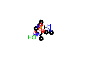 CS(=O)(=O)N(Cc1ccccc1)c1cccc(C(=O)CNC(CCOc2ccc3c(c2)[nH]c2ccccc23)c2ccccc2)c1.Cl